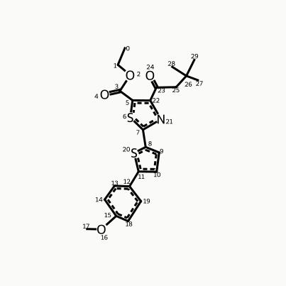 CCOC(=O)c1sc(-c2ccc(-c3ccc(OC)cc3)s2)nc1C(=O)CC(C)(C)C